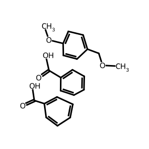 COCc1ccc(OC)cc1.O=C(O)c1ccccc1.O=C(O)c1ccccc1